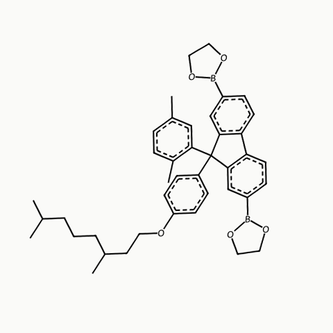 Cc1ccc(C)c(C2(c3ccc(OCCC(C)CCCC(C)C)cc3)c3cc(B4OCCO4)ccc3-c3ccc(B4OCCO4)cc32)c1